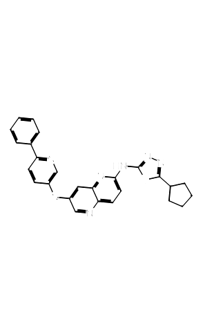 c1ccc(-c2ccc(Nc3cnc4ccc(Nc5nnc(C6CCCC6)s5)nc4c3)cn2)cc1